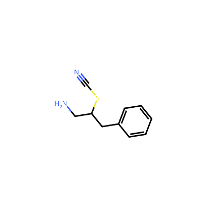 N#CSC(CN)Cc1ccccc1